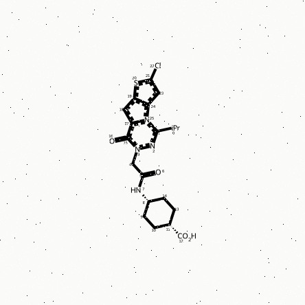 CC(C)c1nn(CC(=O)N[C@H]2CC[C@@H](C(=O)O)CC2)c(=O)c2cc3sc(Cl)cc3n12